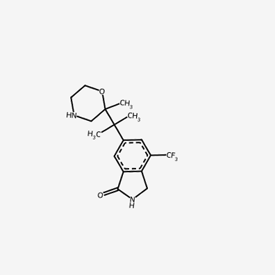 CC1(C(C)(C)c2cc3c(c(C(F)(F)F)c2)CNC3=O)CNCCO1